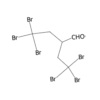 O=[C]C(CC(Br)(Br)Br)CC(Br)(Br)Br